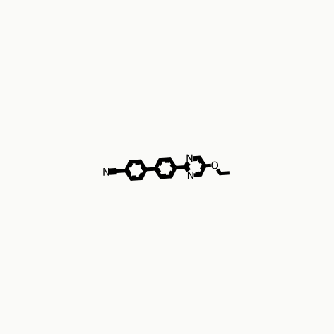 CCOc1cnc(-c2ccc(-c3ccc(C#N)cc3)cc2)nc1